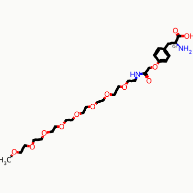 COCCOCCOCCOCCOCCOCCOCCOCCNC(=O)COc1ccc(C[C@H](N)C(=O)O)cc1